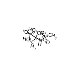 CC(C)(NS(C)(=O)=O)P(=O)(O)O